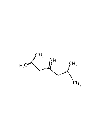 C[C](C)CC(=N)CC(C)C